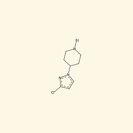 CCN1CCC(n2ccc(Cl)n2)CC1